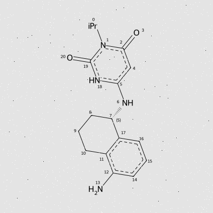 CC(C)n1c(=O)cc(N[C@H]2CCCc3c(N)cccc32)[nH]c1=O